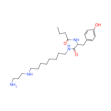 CCCC(=O)NC(Cc1ccc(O)cc1)C(=O)NCCCCCCCCNCCCN